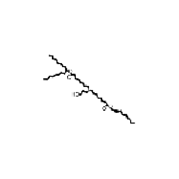 CCCCCCCC#CCOC(=O)CCCCCCCN(CCCO)CCCCCCCC(=O)OC(CCCCCCCC)CCCCCCCC